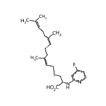 CC(C)=CCCC(C)=CCCC(C)=CCSCC(Nc1cc(F)ccn1)C(=O)O